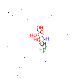 OC[C@H]1OC[C@H](Nc2nc(C(F)(F)F)cs2)[C@@H](O)[C@H]1O